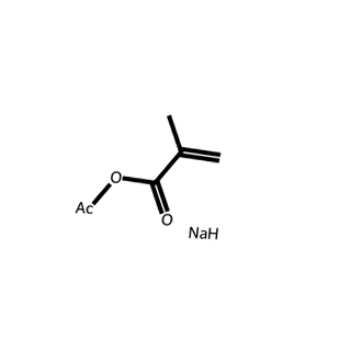 C=C(C)C(=O)OC(C)=O.[NaH]